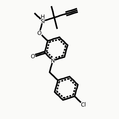 C#CC(C)(C)[SiH](C)Oc1cccn(Cc2ccc(Cl)cc2)c1=O